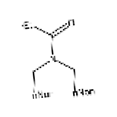 C[CH]C(=O)N(CCCCCCCCCC)CCCCCCCCCC